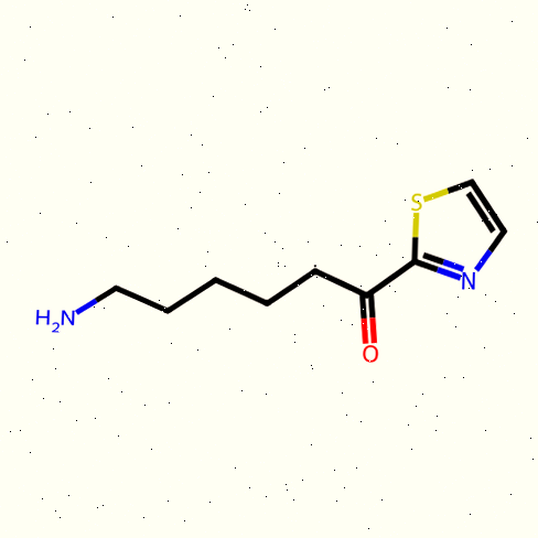 NCCCC[CH]C(=O)c1nccs1